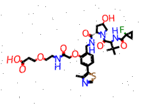 Cc1ncsc1-c1ccc(CNC(=O)[C@@H]2C[C@@H](O)CN2C(=O)C(NC(=O)C2(F)CC2)C(C)(C)C)c(OCC(=O)NCCOCCC(=O)O)c1